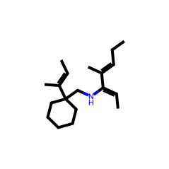 C/C=C(NCC1(/C(C)=C/C)CCCCC1)/C(C)=C/CC